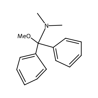 COC(c1ccccc1)(c1ccccc1)N(C)C